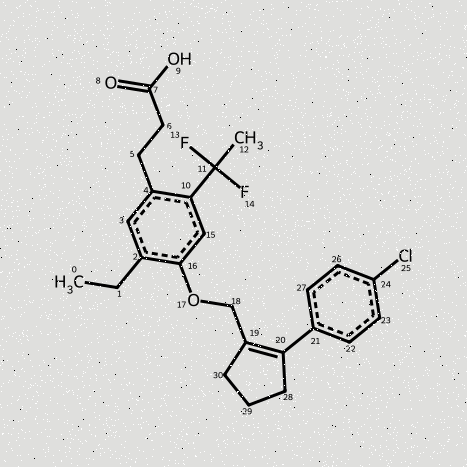 CCc1cc(CCC(=O)O)c(C(C)(F)F)cc1OCC1=C(c2ccc(Cl)cc2)CCC1